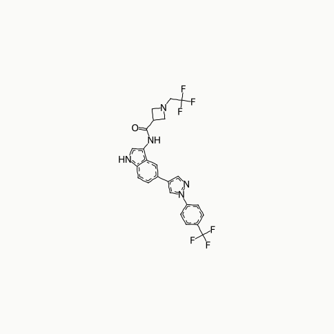 O=C(Nc1c[nH]c2ccc(-c3cnn(-c4ccc(C(F)(F)F)cc4)c3)cc12)C1CN(CC(F)(F)F)C1